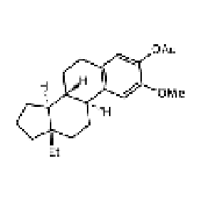 CC[C@@]12CCC[C@H]1[C@@H]1CCc3cc(OC(C)=O)c(OC)cc3[C@H]1CC2